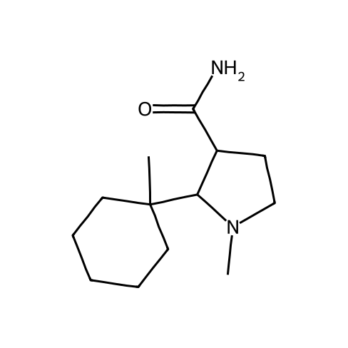 CN1CCC(C(N)=O)C1C1(C)CCCCC1